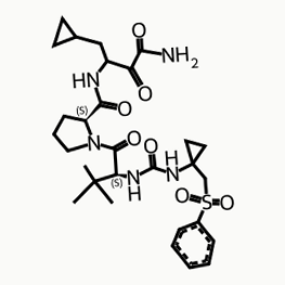 CC(C)(C)[C@H](NC(=O)NC1(CS(=O)(=O)c2ccccc2)CC1)C(=O)N1CCC[C@H]1C(=O)NC(CC1CC1)C(=O)C(N)=O